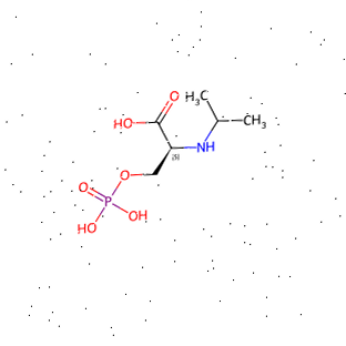 CC(C)N[C@@H](COP(=O)(O)O)C(=O)O